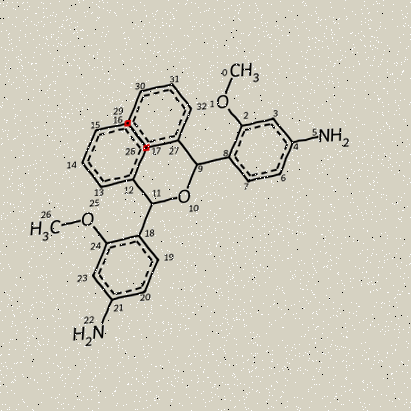 COc1cc(N)ccc1C(OC(c1ccccc1)c1ccc(N)cc1OC)c1ccccc1